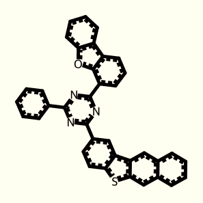 c1ccc(-c2nc(-c3ccc4sc5cc6ccccc6cc5c4c3)nc(-c3cccc4c3oc3ccccc34)n2)cc1